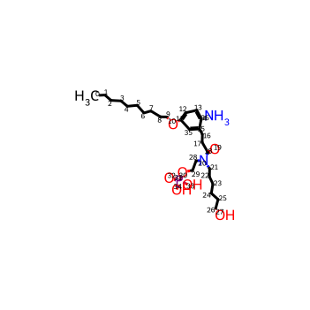 CCCCCCCCCCOc1cccc(CCC(=O)N(CCCCCCO)CCOP(=O)(O)O)c1.N